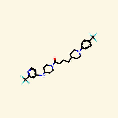 O=C(CCCC1CCN(c2ccc(C(F)(F)F)cc2)CC1)N1CCC(Nc2ccnc(C(F)(F)F)c2)CC1